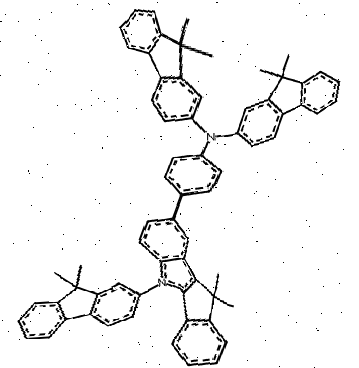 CC1(C)c2ccccc2-c2ccc(N(c3ccc(-c4ccc5c(c4)c4c(n5-c5ccc6c(c5)C(C)(C)c5ccccc5-6)-c5ccccc5C4(C)C)cc3)c3ccc4c(c3)C(C)(C)c3ccccc3-4)cc21